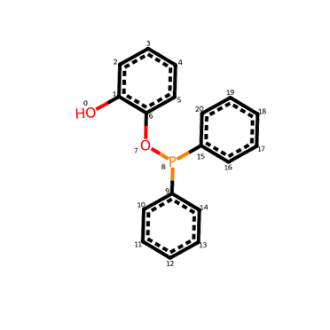 Oc1ccccc1OP(c1ccccc1)c1ccccc1